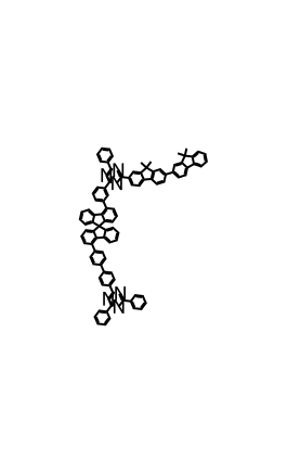 CC1(C)c2ccccc2-c2ccc(-c3ccc4c(c3)C(C)(C)c3cc(-c5nc(-c6ccccc6)nc(-c6cccc(-c7cccc8c7-c7ccccc7C87c8ccccc8-c8c(-c9ccc(-c%10ccc(-c%11nc(-c%12ccccc%12)nc(-c%12ccccc%12)n%11)cc%10)cc9)cccc87)c6)n5)ccc3-4)cc21